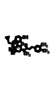 CCC1CC(N(C)C(=O)CCc2ccc(C)c(C)c2)C2Oc3c(O)ccc4c3[C@@]23CCN(CC2CC2)[C@H](C4)[C@]13O